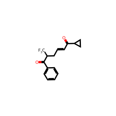 O=C(C=CCC(C(=O)c1ccccc1)C(F)(F)F)C1CC1